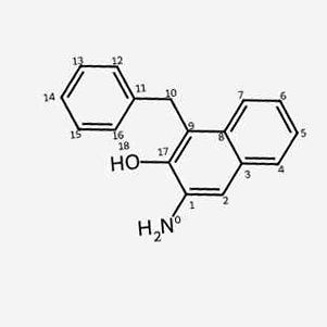 Nc1cc2ccccc2c(Cc2ccccc2)c1O